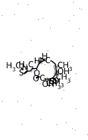 C/C(=C\c1csc(C)n1)C1C[C@@H]2C[C@@H]2CCC[C@H](C)[C@H](O)[C@@H](C)C(=O)C(C)(C)[C@@H](O)CC(=O)O1